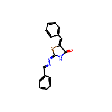 O=C1N/C(=N\N=C\c2ccccc2)S/C1=C\c1ccccc1